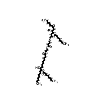 CCCCCCCCC(OC(=O)CCCCCCC)C(O)CCCCCCCC(=O)OCCOC(=O)CCCCCCCC(OC(=O)CCCCCCC)C(O)CC1OC1CCCCC